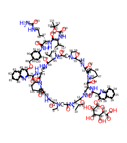 CCN1CC(=O)N(C)[C@@H](C(C)C)C(=O)NC[C@@H](NC(=O)c2nc3ccccc3cc2O[C@@H]2O[C@H](C(=O)O)[C@@H](O)[C@H](O)[C@H]2O)C(=O)N2CCCC[C@H]2C(=O)NCC(=O)N(CC)CC(=O)N(C)[C@@H](C(C)C)C(=O)NC[C@@H](NC(=O)c2nc3ccccc3cc2OCc2ccc(NC(=O)[C@H](CCCNC(N)=O)NC(=O)[C@@H](NC(=O)OC(C)(C)C)C(C)C)cc2)C(=O)N2CCCC[C@H]2C(=O)NCC1=O